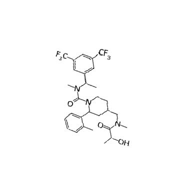 Cc1ccccc1C1CC(CN(C)C(=O)C(C)O)CCN1C(=O)N(C)C(C)c1cc(C(F)(F)F)cc(C(F)(F)F)c1